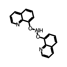 c1cnc2c([O][AlH][O]c3cccc4cccnc34)cccc2c1